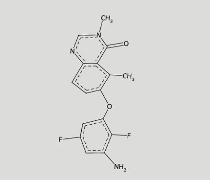 Cc1c(Oc2cc(F)cc(N)c2F)ccc2ncn(C)c(=O)c12